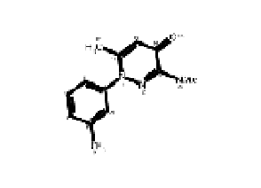 CNc1nn(-c2cccc(C(F)(F)F)c2)c(C)cc1=O